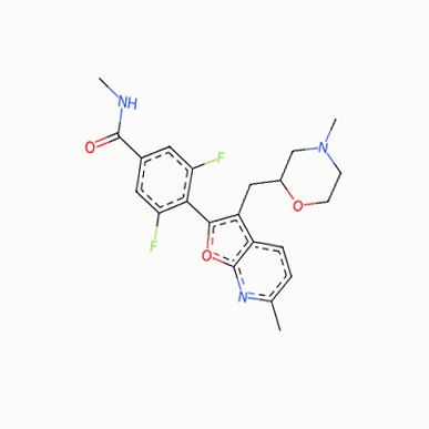 CNC(=O)c1cc(F)c(-c2oc3nc(C)ccc3c2CC2CN(C)CCO2)c(F)c1